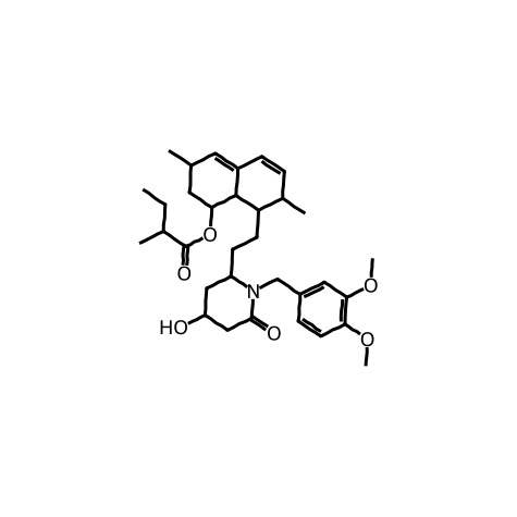 CCC(C)C(=O)OC1CC(C)C=C2C=CC(C)C(CCC3CC(O)CC(=O)N3Cc3ccc(OC)c(OC)c3)C21